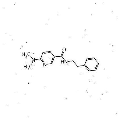 CN(C)c1ccc(C(=O)NCCc2ccccc2)cn1